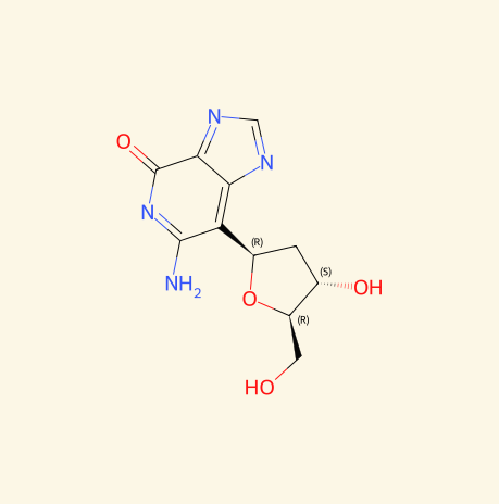 NC1=NC(=O)C2=NC=NC2=C1[C@H]1C[C@H](O)[C@@H](CO)O1